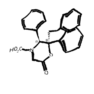 O=C1CN(C(=O)O)[C@@H](c2ccccc2)[C@@](Cc2ccccc2)(c2ccccc2)O1